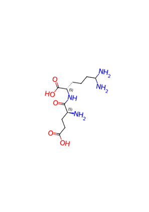 NC(N)CCC[C@H](NC(=O)[C@@H](N)CCC(=O)O)C(=O)O